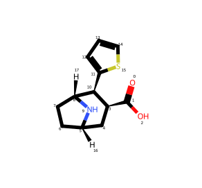 O=C(O)[C@H]1C[C@@H]2CC[C@@H](N2)[C@H]1c1cccs1